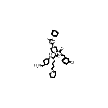 C[C@@H]1N=C(N2CCN(C(=O)[C@@H](CCCCN3CCCCC3)NC3CCC(CN)CC3)[C@H](C(=O)NCc3cccc(Cl)c3)C2)O[C@H]1c1ccccc1